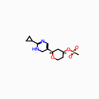 CS(=O)(=O)O[C@H]1CCO[C@@H](C2=CN=C(C3CC3)NC2)C1